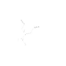 C=CC[SiH](CC=C)NC(C)C